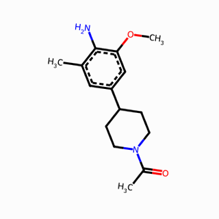 COc1cc(C2CCN(C(C)=O)CC2)cc(C)c1N